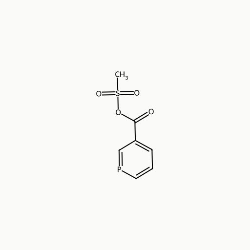 CS(=O)(=O)OC(=O)c1cccpc1